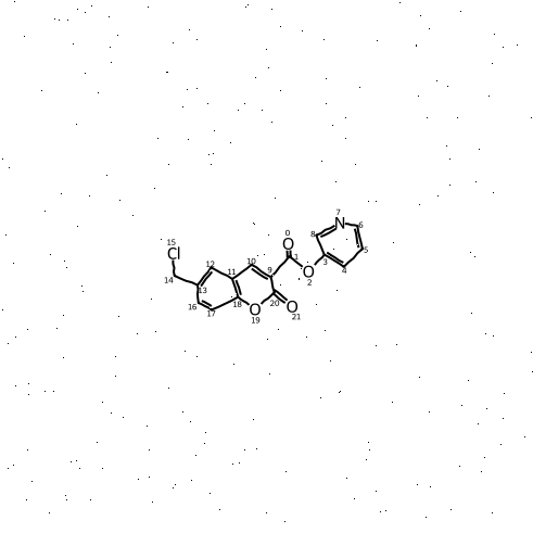 O=C(Oc1cccnc1)c1cc2cc(CCl)ccc2oc1=O